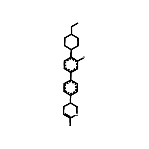 CCC1CCC(c2ccc(-c3ccc(C4CC=C(C)OC4)cc3)cc2F)CC1